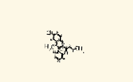 CCCC(=O)c1nc2ccc(Cl)cc2c(C)c1-[n+]1ccccc1